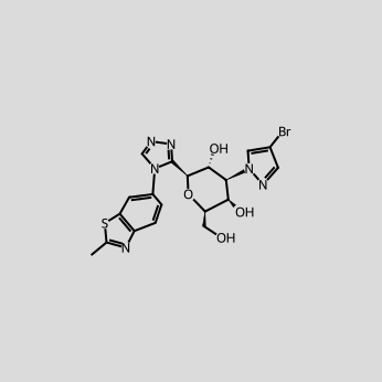 Cc1nc2ccc(-n3cnnc3[C@@H]3O[C@H](CO)[C@H](O)[C@H](n4cc(Br)cn4)[C@H]3O)cc2s1